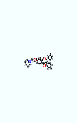 O=C(c1ccccc1)c1c(-c2ccc(OCCN3CCCCC3)cc2)oc2ccccc12